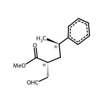 COC(=O)[C@@H](CC=O)C[C@@H](C)c1ccccc1